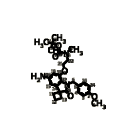 COc1ccc(CN2C(=O)C3(CCC3)c3cc(N)cc(OCCN(C)C(=O)OC(C)(C)C)c32)cc1